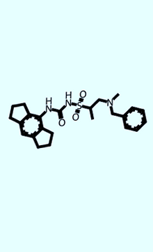 CC(CN(C)Cc1ccccc1)S(=O)(=O)NC(=O)Nc1c2c(cc3c1CCC3)CCC2